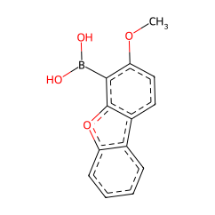 COc1ccc2c(oc3ccccc32)c1B(O)O